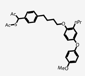 CCCc1cc(Oc2ccc(OC)cc2)ccc1OCCCCc1ccc(C(SC(C)=O)C(C)=O)cc1